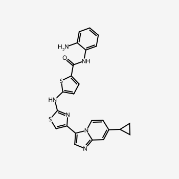 Nc1ccccc1NC(=O)c1ccc(Nc2nc(-c3cnc4cc(C5CC5)ccn34)cs2)s1